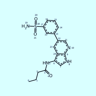 CCCC(=O)Nc1c[nH]c2ncc(-c3cccc(S(N)(=O)=O)c3)cc12